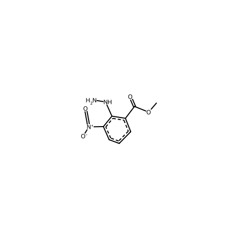 COC(=O)c1cccc([N+](=O)[O-])c1NN